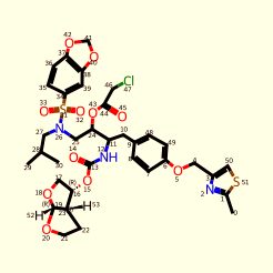 Cc1nc(COc2ccc(CC(NC(=O)O[C@H]3CO[C@H]4OCC[C@H]43)C(CN(CC(C)C)S(=O)(=O)c3ccc4c(c3)OCO4)OC(=O)CCl)cc2)cs1